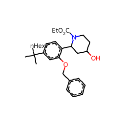 CCCCCCC(C)(C)c1ccc(C2CC(O)CCN2C(=O)OCC)c(OCc2ccccc2)c1